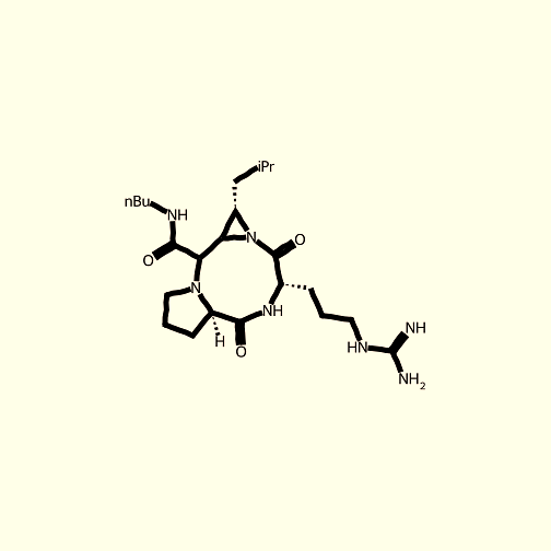 CCCCNC(=O)C1C2[C@H](CC(C)C)N2C(=O)[C@H](CCCNC(=N)N)NC(=O)[C@H]2CCCN12